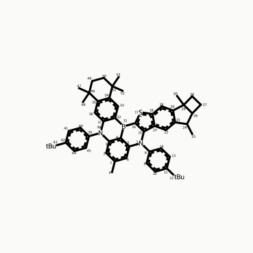 Cc1cc2c3c(c1)N(c1ccc(C(C)(C)C)cc1)c1c(sc4cc5c(cc14)C(C)C1CCC51C)B3c1cc3c(cc1N2c1ccc(C(C)(C)C)cc1)C(C)(C)CCC3(C)C